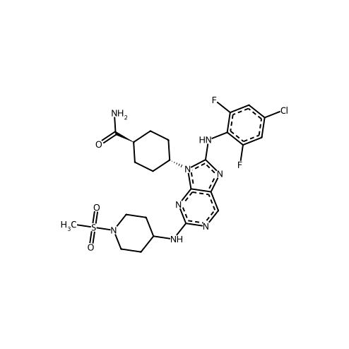 CS(=O)(=O)N1CCC(Nc2ncc3nc(Nc4c(F)cc(Cl)cc4F)n([C@H]4CC[C@H](C(N)=O)CC4)c3n2)CC1